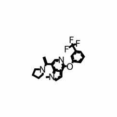 C=C(c1cnc(Oc2cccc(C(F)(F)F)c2)c2ccn(C)c12)N1CCCC1